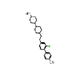 CCCC1CCC(C2CCC(CCc3ccc(-c4ccc(C#N)cc4)c(F)c3)CC2)CC1